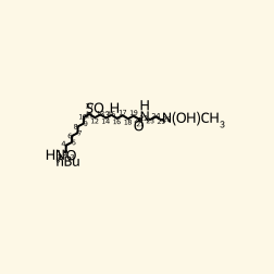 CCCCNC(=O)CCCCCCCC(CCCCCCCCC(=O)NCCCN(C)O)S(=O)(=O)O